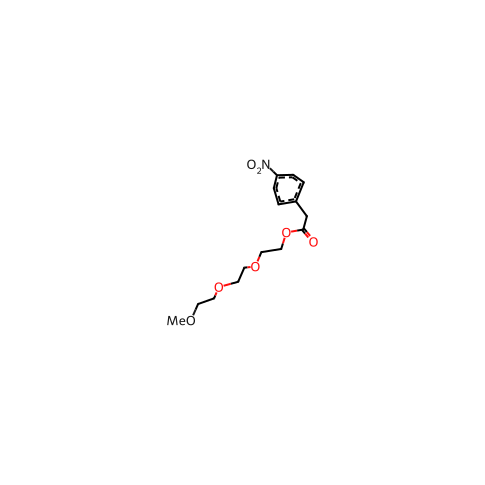 COCCOCCOCCOC(=O)Cc1ccc([N+](=O)[O-])cc1